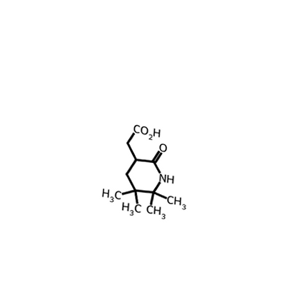 CC1(C)CC(CC(=O)O)C(=O)NC1(C)C